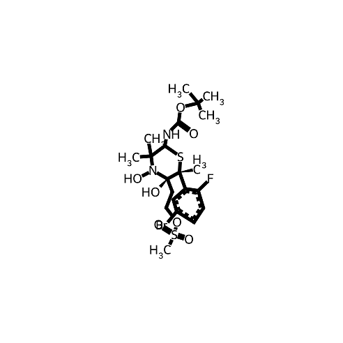 CC(C)(C)OC(=O)NC1S[C@](C)(c2cc(Br)ccc2F)[C@](O)(CCOS(C)(=O)=O)N(O)C1(C)C